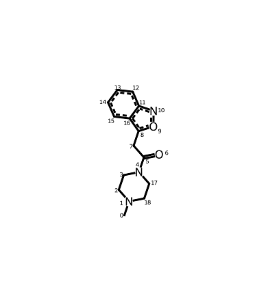 CN1CCN(C(=O)Cc2onc3ccccc23)CC1